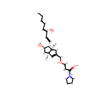 CCCCC[C@H](O)/C=C/[C@@H]1[C@H]2CC(COCCC(=O)N3CCCC3)=C[C@H]2C[C@H]1O